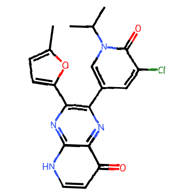 Cc1ccc(-c2nc3[nH]ccc(=O)c3nc2-c2cc(Cl)c(=O)n(C(C)C)c2)o1